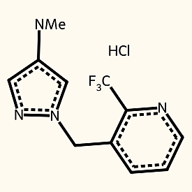 CNc1cnn(Cc2cccnc2C(F)(F)F)c1.Cl